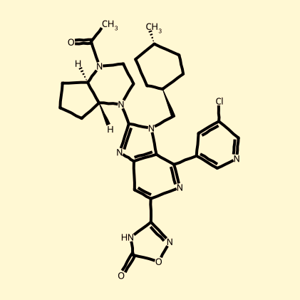 CC(=O)N1CCN(c2nc3cc(-c4noc(=O)[nH]4)nc(-c4cncc(Cl)c4)c3n2C[C@H]2CC[C@H](C)CC2)[C@@H]2CCC[C@H]21